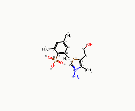 Cc1c(CCO)sc[n+]1N.Cc1cc(C)c(S(=O)(=O)[O-])c(C)c1